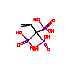 C=CC(P(=O)(O)O)(P(=O)(O)O)P(=O)(O)O